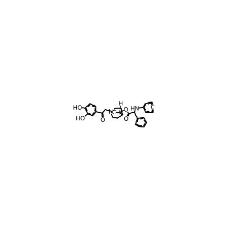 O=C(C[N+]12CCC(CC1)[C@@H](OC(=O)C(Nc1ccccc1)c1ccccc1)C2)c1ccc(O)c(O)c1